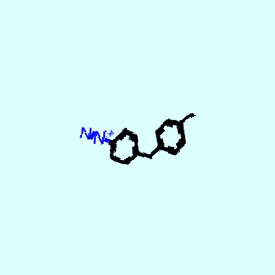 Cc1ccc(Cc2ccc([N+]#N)cc2)cc1